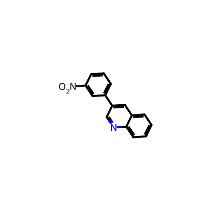 O=[N+]([O-])c1cccc(-c2cnc3ccccc3c2)c1